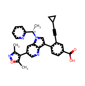 Cc1noc(C)c1-c1cnc2c(-c3ccc(C(=O)O)cc3C#CC3CC3)cn([C@@H](C)c3ccccn3)c2c1